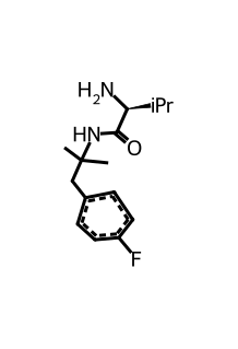 CC(C)[C@H](N)C(=O)NC(C)(C)Cc1ccc(F)cc1